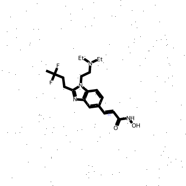 CCN(CC)CCn1c(CCC(C)(F)F)nc2cc(/C=C/C(=O)NO)ccc21